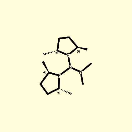 C[C@@H]1CC[C@@H](C)P1B(N(C)C)P1[C@H](C)CC[C@H]1C